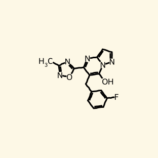 Cc1noc(-c2nc3ccnn3c(O)c2Cc2cccc(F)c2)n1